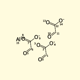 O=CC(=O)[O-].O=CC(=O)[O-].O=CC(=O)[O-].[Al+3]